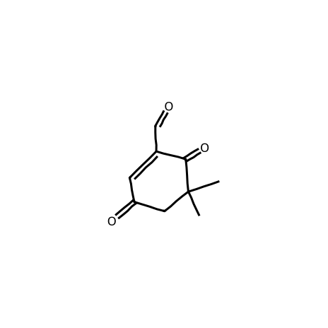 CC1(C)CC(=O)C=C(C=O)C1=O